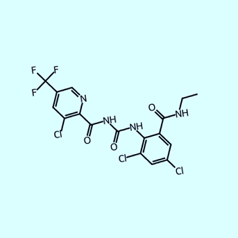 CCNC(=O)c1cc(Cl)cc(Cl)c1NC(=O)NC(=O)c1ncc(C(F)(F)F)cc1Cl